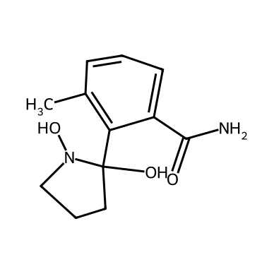 Cc1cccc(C(N)=O)c1C1(O)CCCN1O